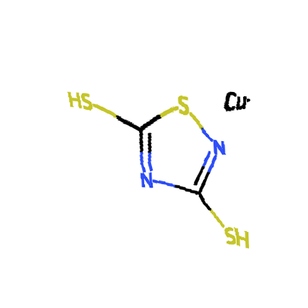 Sc1nsc(S)n1.[Cu]